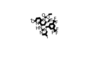 CCOC(=O)N1c2ccc(OC)nc2[C@@H](NC2=NC=C(I)CN2Cc2cc(C(F)(F)F)cc(C(F)(F)F)c2)C[C@@H]1CC